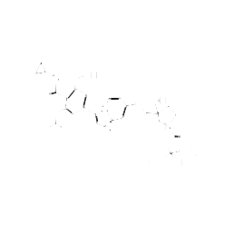 COc1cc(-c2cnc3cc(OCC4(O)CCN(C(=O)OC(C)(C)C)C4)ccn23)cc(OC(F)F)c1C(=O)NC1CC1